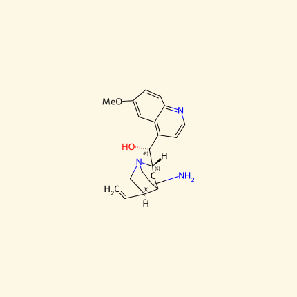 C=C[C@H]1CN2CC(N)C1C[C@H]2[C@H](O)c1ccnc2ccc(OC)cc12